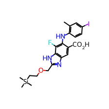 Cc1cc(I)ccc1Nc1c(C(=O)O)cc2nc(COCC[Si](C)(C)C)[nH]c2c1F